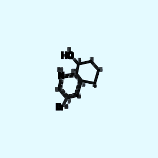 OC1CCCc2cc(Br)cnc21